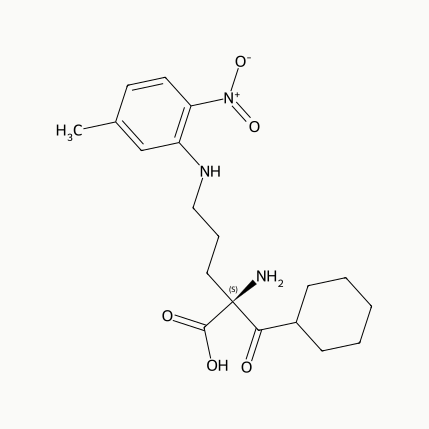 Cc1ccc([N+](=O)[O-])c(NCCC[C@@](N)(C(=O)O)C(=O)C2CCCCC2)c1